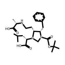 CC(C)C[C@@H](C(=O)O)N1CN(C(=O)OC(C)(C)C)[C@@H](Cc2ccccc2)[C@H]1CCN[C@@H](C)C(=O)O